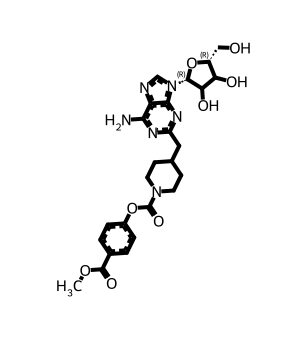 COC(=O)c1ccc(OC(=O)N2CCC(Cc3nc(N)c4ncn([C@@H]5O[C@H](CO)C(O)C5O)c4n3)CC2)cc1